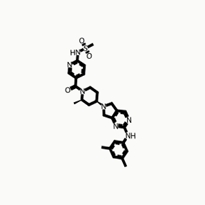 Cc1cc(C)cc(Nc2ncc3c(n2)CN([C@@H]2CCN(C(=O)c4ccc(NS(C)(=O)=O)nc4)[C@H](C)C2)C3)c1